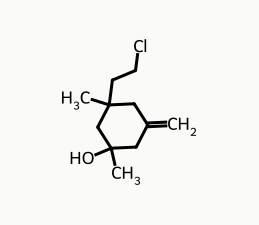 C=C1CC(C)(O)CC(C)(CCCl)C1